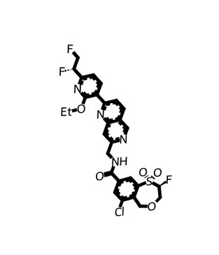 CCOc1nc([C@H](F)CF)ccc1-c1ccc2cnc(CNC(=O)c3cc(Cl)c4c(c3)S(=O)(=O)[C@@H](F)COC4)cc2n1